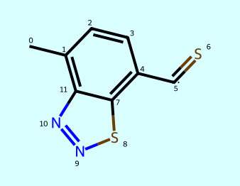 Cc1ccc([C]=S)c2snnc12